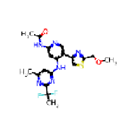 COCc1nc(-c2cnc(NC(C)=O)cc2Nc2cc(C)nc(C(C)(F)F)n2)cs1